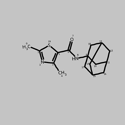 Cc1nc(C)c(C(=O)NC23CC4CC(CC(C4)C2)C3)s1